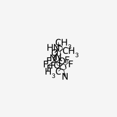 Cc1cc(C)c(Cn2cnc(C(F)(F)C(F)F)c(Oc3cc(C(F)F)cc(C#N)c3C)c2=O)c(=O)[nH]1